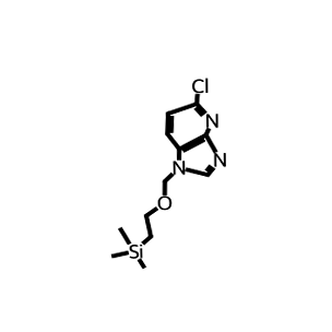 C[Si](C)(C)CCOCn1cnc2nc(Cl)ccc21